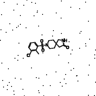 Cc1c(Cl)cccc1S(=O)(=O)N1CCC2(CC1)CNC(=O)C2